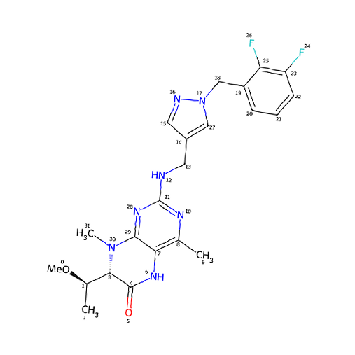 CO[C@H](C)[C@H]1C(=O)Nc2c(C)nc(NCc3cnn(Cc4cccc(F)c4F)c3)nc2N1C